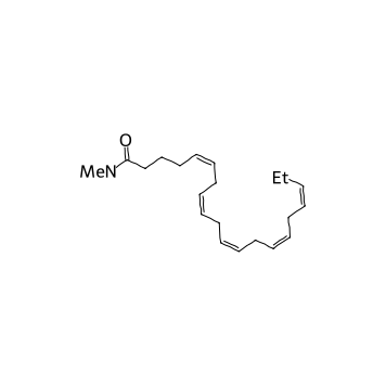 CC/C=C\C/C=C\C/C=C\C/C=C\C/C=C\CCCC(=O)NC